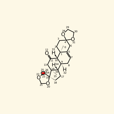 C[C@]12CCC3(CC1=CC[C@@H]1[C@@H]2C(=O)C[C@@]2(C)[C@H]1CC[C@@]21OCOC12COCO2)OCCO3